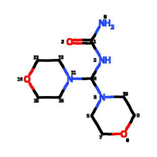 NC(=O)NC(N1CCOCC1)N1CCOCC1